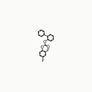 O=C(Oc1ccc(F)cc1F)Oc1ccccc1-c1ccccc1